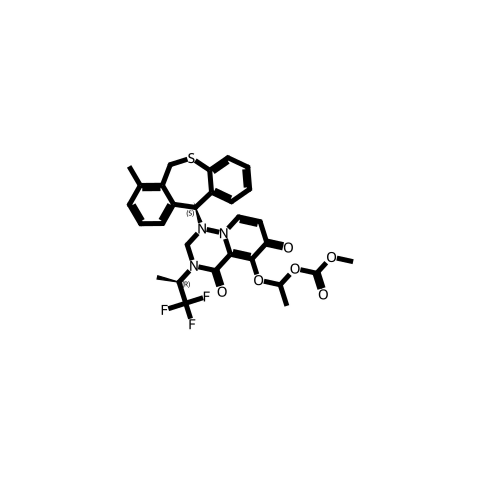 COC(=O)OC(C)Oc1c2n(ccc1=O)N([C@@H]1c3ccccc3SCc3c(C)cccc31)CN([C@H](C)C(F)(F)F)C2=O